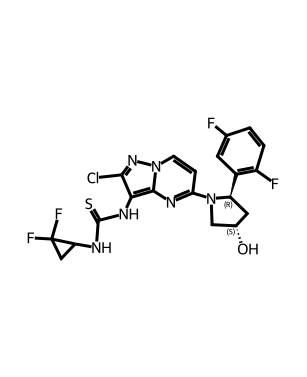 O[C@H]1C[C@H](c2cc(F)ccc2F)N(c2ccn3nc(Cl)c(NC(=S)NC4CC4(F)F)c3n2)C1